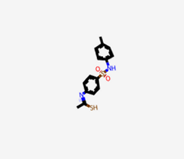 C/C(S)=N/c1ccc(S(=O)(=O)Nc2ccc(C)cc2)cc1